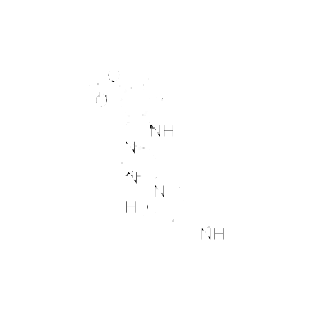 CN(CC1CCNCC1)c1cc(Nc2ccc3c(c2)OCO3)ncn1